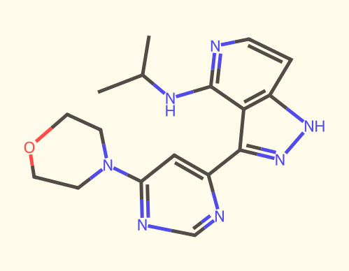 CC(C)Nc1nccc2[nH]nc(-c3cc(N4CCOCC4)ncn3)c12